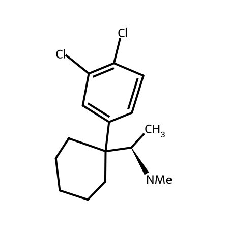 CN[C@H](C)C1(c2ccc(Cl)c(Cl)c2)CCCCC1